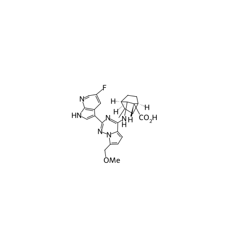 COCc1ccc2c(N[C@@H]3[C@@H](C(=O)O)[C@H]4CC[C@@H]3C(C)C4)nc(-c3c[nH]c4ncc(F)cc34)nn12